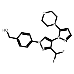 OCc1ccc(-n2cc(-n3nccc3N3CCOCC3)c(C(F)F)n2)cc1